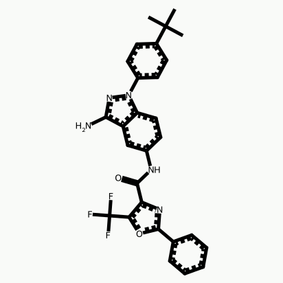 CC(C)(C)c1ccc(-n2nc(N)c3cc(NC(=O)c4nc(-c5ccccc5)oc4C(F)(F)F)ccc32)cc1